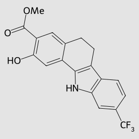 COC(=O)c1cc2c(cc1O)-c1[nH]c3cc(C(F)(F)F)ccc3c1CC2